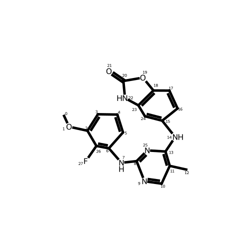 COc1cccc(Nc2ncc(C)c(Nc3ccc4oc(=O)[nH]c4c3)n2)c1F